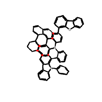 c1ccc(-n2c3ccccc3c3cccc(-c4ccccc4N(c4ccc(-c5cccc6c5oc5ccccc56)cc4)c4ccccc4-c4cccc5cccc(C6CCCCC6)c45)c32)cc1